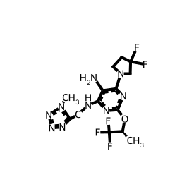 C[C@H](Oc1nc(NCc2nnnn2C)c(N)c(N2CCC(F)(F)C2)n1)C(F)(F)F